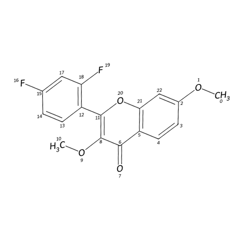 COc1ccc2c(=O)c(OC)c(-c3ccc(F)cc3F)oc2c1